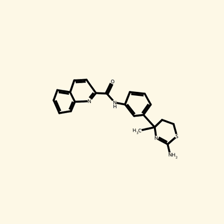 CC1(c2cccc(NC(=O)c3ccc4ccccc4n3)c2)CCSC(N)=N1